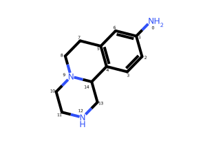 Nc1ccc2c(c1)CCN1CCNCC21